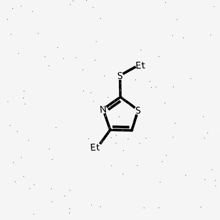 CCSc1nc(CC)cs1